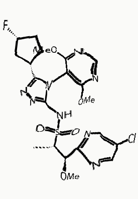 COc1ncnc(OC)c1-n1c(NS(=O)(=O)[C@@H](C)[C@H](OC)c2ncc(Cl)cn2)nnc1[C@H]1CC[C@@H](F)C1